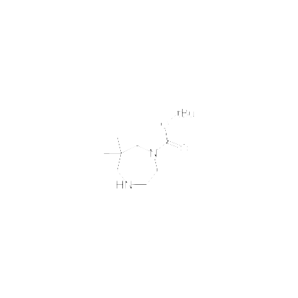 CC1(C)CNCCN(C(=O)OC(C)(C)C)C1